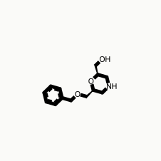 OC[C@H]1CNC[C@@H](COCc2ccccc2)O1